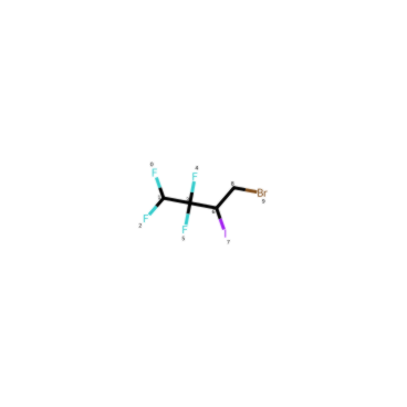 FC(F)C(F)(F)C(I)CBr